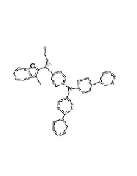 C=C/C=C(/c1ccc(N(c2ccc(-c3ccccc3)cc2)c2ccc(-c3ccccc3)cc2)cc1)c1oc2ccccc2c1C